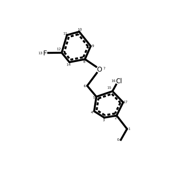 CCc1ccc(COc2cccc(F)c2)c(Cl)c1